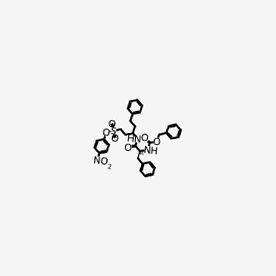 O=C(N[C@@H](Cc1ccccc1)C(=O)NC(CCc1ccccc1)CCS(=O)(=O)Oc1ccc([N+](=O)[O-])cc1)OCc1ccccc1